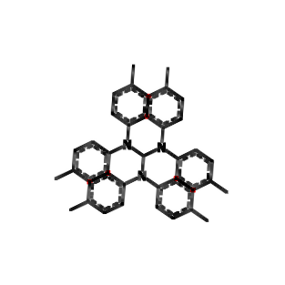 Cc1ccc(N(c2ccc(C)cc2)C(N(c2ccc(C)cc2)c2ccc(C)cc2)N(c2ccc(C)cc2)c2ccc(C)cc2)cc1